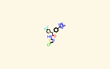 Cn1nnc(-c2ccc([C@H](C(=O)Nc3ncc(Cl)s3)[C@H]3CCC(F)(F)C3)cc2)n1